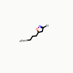 CCCCCCCCC1CC(CC)=NO1